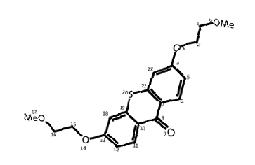 COCCOc1ccc2c(=O)c3ccc(OCCOC)cc3sc2c1